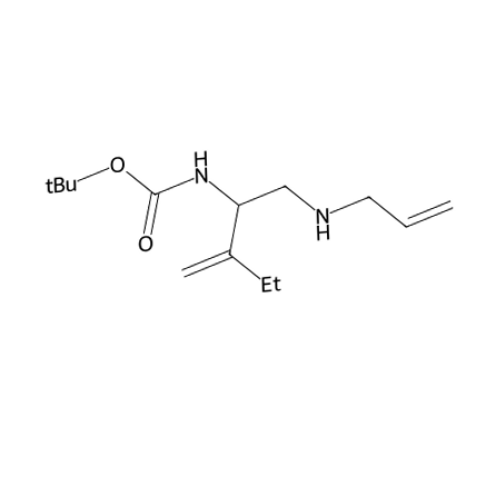 C=CCNCC(NC(=O)OC(C)(C)C)C(=C)CC